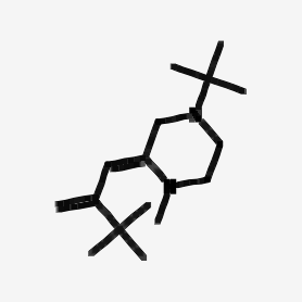 C=C(/C=C1/CN(C(C)(C)C)CCN1C)C(C)(C)C